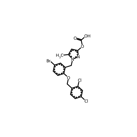 Cc1cc(OC(=O)O)nn1Cc1cc(Br)ccc1OCc1ccc(Cl)cc1Cl